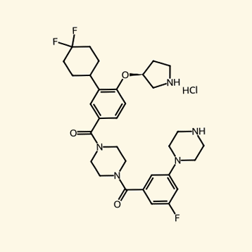 Cl.O=C(c1cc(F)cc(N2CCNCC2)c1)N1CCN(C(=O)c2ccc(O[C@H]3CCNC3)c(C3CCC(F)(F)CC3)c2)CC1